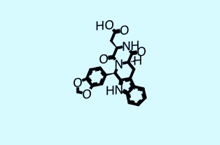 O=C(O)C[C@H]1NC(=O)[C@H]2Cc3c([nH]c4ccccc34)[C@@H](c3ccc4c(c3)OCO4)N2C1=O